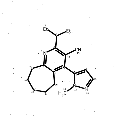 CCC(CC)c1nc2c(c(-c3ccnn3C)c1C#N)CCCCC2